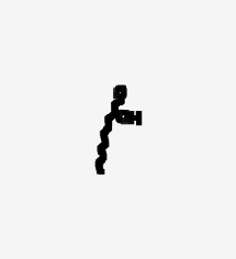 CCCCCCCCC(O)CC=O